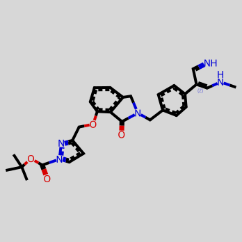 CN/C=C(\C=N)c1ccc(CN2Cc3cccc(OCc4ccn(C(=O)OC(C)(C)C)n4)c3C2=O)cc1